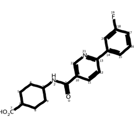 O=C(NC1CCC(C(=O)O)CC1)c1ccc(-c2cccc(F)c2)nc1